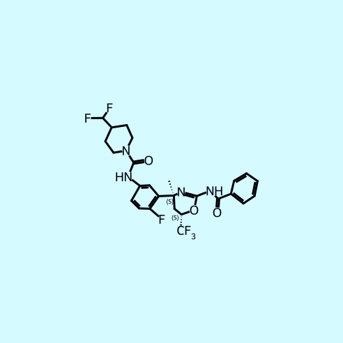 C[C@@]1(c2cc(NC(=O)N3CCC(C(F)F)CC3)ccc2F)C[C@@H](C(F)(F)F)OC(NC(=O)c2ccccc2)=N1